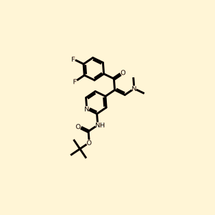 CN(C)/C=C(\C(=O)c1ccc(F)c(F)c1)c1ccnc(NC(=O)OC(C)(C)C)c1